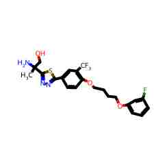 CC(N)(CO)c1nnc(-c2ccc(OCCCCOc3cccc(F)c3)c(C(F)(F)F)c2)s1